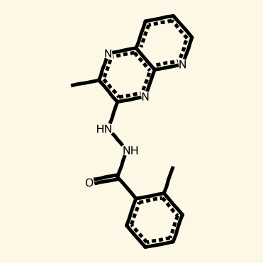 Cc1ccccc1C(=O)NNc1nc2ncccc2nc1C